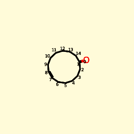 O=C1CCCCC/C=C\CCCCCC1